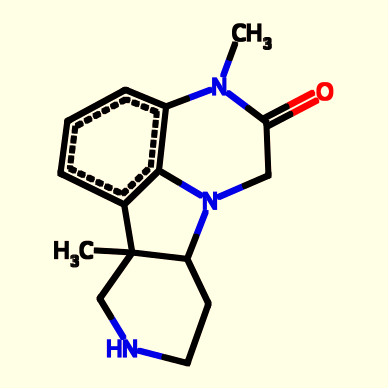 CN1C(=O)CN2c3c1cccc3C1(C)CNCCC21